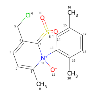 CC1=CC=C(CCl)C(=S(=O)=O)[N+]1([O-])c1cc(C)ccc1C